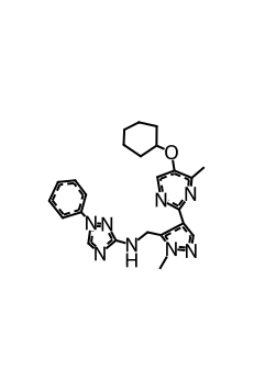 Cc1nc(-c2cnn(C)c2CNc2ncn(-c3ccccc3)n2)ncc1OC1CCCCC1